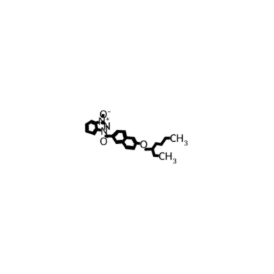 CCCCC(CC)COc1ccc2cc(C(=O)n3n[n+]([O-])c4ccccc43)ccc2c1